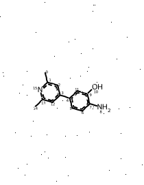 Cc1cc(-c2ccc(N)c(O)c2)cc(C)n1